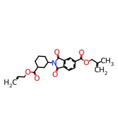 C=CCOC(=O)C1CCCC(N2C(=O)c3ccc(C(=O)OCC(=C)C)cc3C2=O)C1